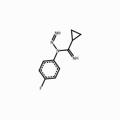 N=NN(C(=N)C1CC1)c1ccc(F)cc1